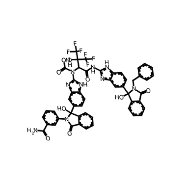 NC(=O)c1cccc(N2C(=O)c3ccccc3C2(O)c2ccc3[nH]c(N(C(=O)O)C(C(=O)Nc4nc5cc(C6(O)c7ccccc7C(=O)N6Cc6ccccc6)ccc5[nH]4)C(O)(C(F)(F)F)C(F)(F)F)nc3c2)c1